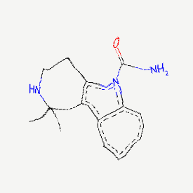 CC1(C)NCCc2c1c1ccccc1n2C(N)=O